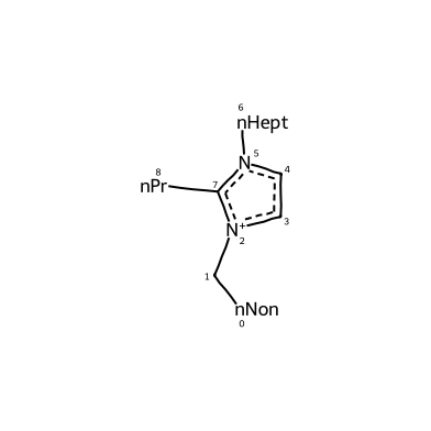 CCCCCCCCCC[n+]1ccn(CCCCCCC)c1CCC